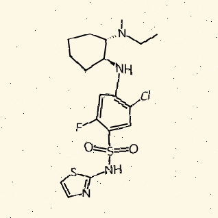 CCN(C)[C@H]1CCCC[C@@H]1Nc1cc(F)c(S(=O)(=O)Nc2nccs2)cc1Cl